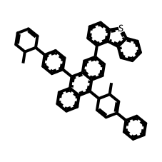 CC1C=CC=CC1c1ccc(-c2c3ccccc3c(C3C=CC(c4ccccc4)=CC3C)c3ccc(-c4cccc5sc6ccccc6c45)cc23)cc1